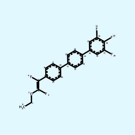 CCO/C(F)=C(\F)c1ccc(-c2ccc(-c3cc(F)c(F)c(F)c3)cc2)cc1